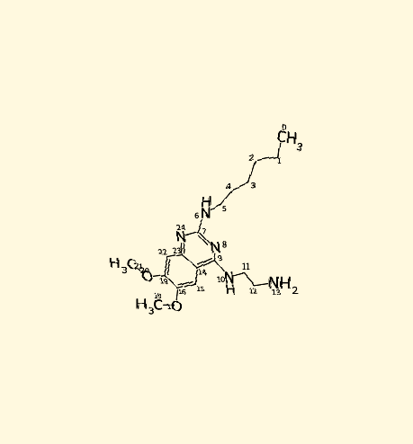 CCCCCCNc1nc(NCCN)c2cc(OC)c(OC)cc2n1